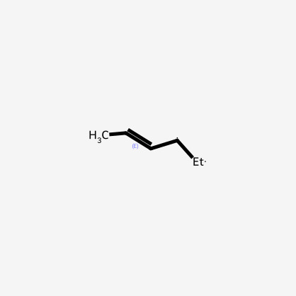 C[CH][CH]/C=C/C